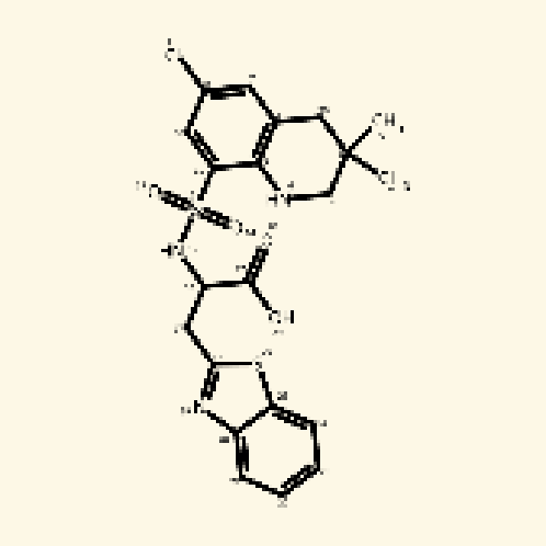 CC1(C)CNc2c(cc(Cl)cc2S(=O)(=O)NC(Cc2nc3ccccc3s2)C(=O)O)C1